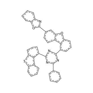 c1ccc(-c2nc(-c3cccc4oc5cc(-c6nc7ccccc7o6)ccc5c34)nc(-c3cccc4sc5ccccc5c34)n2)cc1